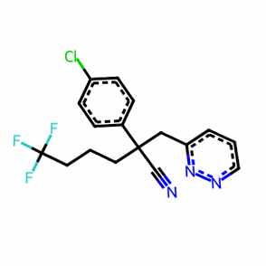 N#CC(CCCC(F)(F)F)(Cc1cccnn1)c1ccc(Cl)cc1